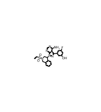 C=CS(=O)(=O)N1Cc2ccccc2C(n2nc(-c3cc(O)cc(F)c3)c3c(N)ncnc32)C1